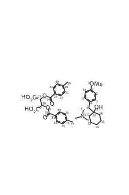 COc1ccc([C@@H](CN(C)C)C2(O)CCCCC2)cc1.Cc1ccc(C(=O)O[C@@H](C(=O)O)[C@@H](OC(=O)c2ccc(C)cc2)C(=O)O)cc1